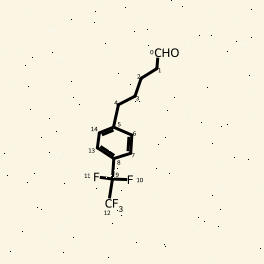 O=CCCCCc1ccc(C(F)(F)C(F)(F)F)cc1